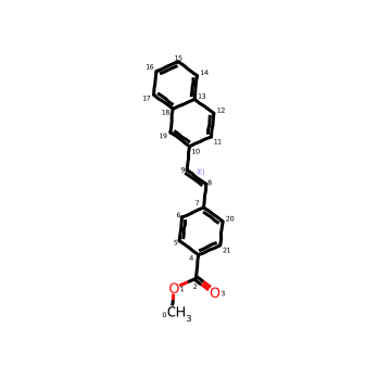 COC(=O)c1ccc(/C=C/c2ccc3ccccc3c2)cc1